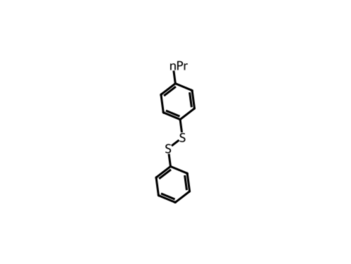 CCCc1ccc(SSc2ccccc2)cc1